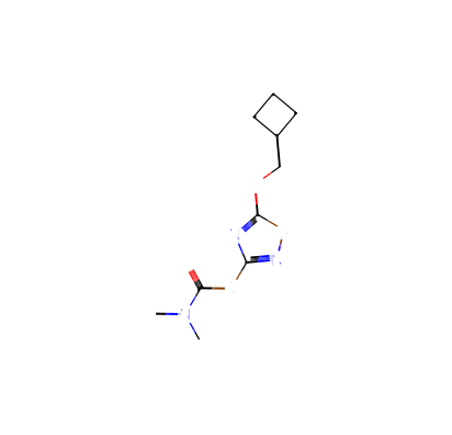 CN(C)C(=O)Sc1nsc(OCC2CCC2)n1